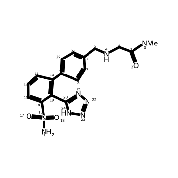 CNC(=O)CNCc1ccc(-c2cccc(S(N)(=O)=O)c2-c2nnn[nH]2)cc1